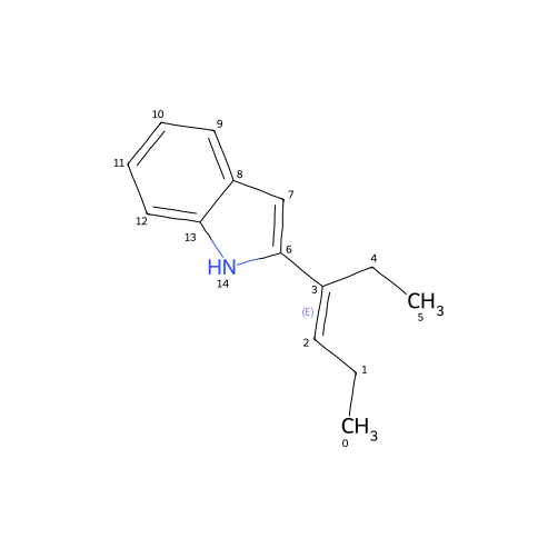 CC/C=C(\CC)c1cc2ccccc2[nH]1